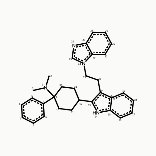 CN(C)C1(c2ccccc2)CCC(c2[nH]c3ccccc3c2CCn2cnc3ccccc32)CC1